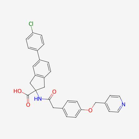 O=C(Cc1ccc(OCc2ccncc2)cc1)NC1(C(=O)O)Cc2ccc(-c3ccc(Cl)cc3)cc2C1